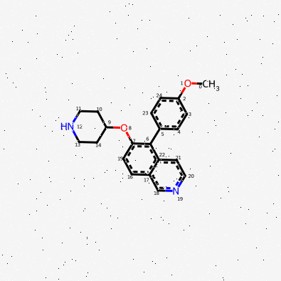 COc1ccc(-c2c(OC3CCNCC3)ccc3cnccc23)cc1